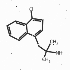 CC(C)([NH])Cc1ccc(Cl)c2ccccc12